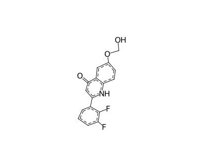 O=c1cc(-c2cccc(F)c2F)[nH]c2ccc(OCO)cc12